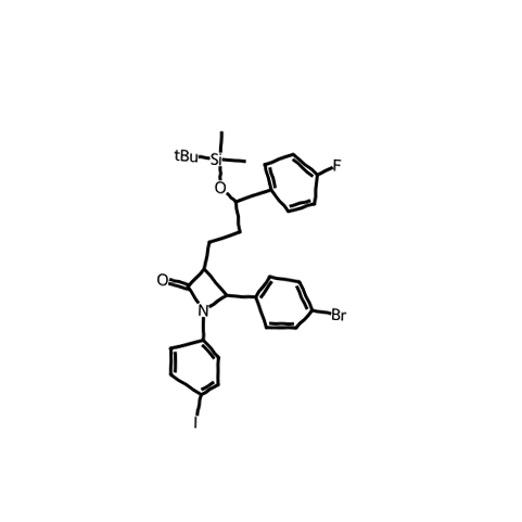 CC(C)(C)[Si](C)(C)OC(CCC1C(=O)N(c2ccc(I)cc2)C1c1ccc(Br)cc1)c1ccc(F)cc1